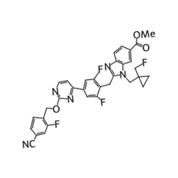 COC(=O)c1ccc2nc(Cc3c(F)cc(-c4ccnc(OCc5ccc(C#N)cc5F)n4)cc3F)n(CC3(CF)CC3)c2c1